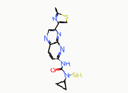 Cc1nc(-c2cnc3ccc(NC(=O)N(S)C4CC4)nc3n2)cs1